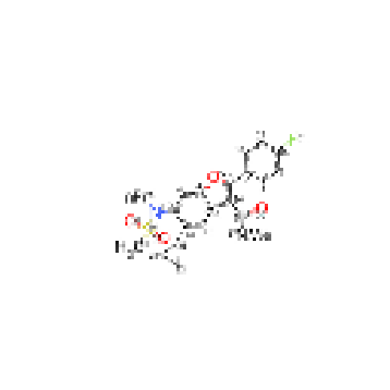 CCCN(c1cc2oc(-c3ccc(F)cc3)c(C(=O)NC)c2cc1C1CC1)S(C)(=O)=O